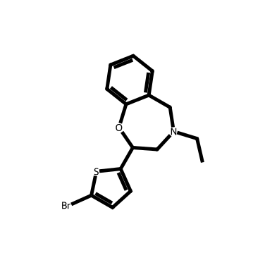 CCN1Cc2ccccc2OC(c2ccc(Br)s2)C1